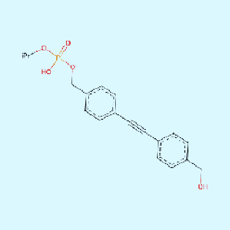 CC(C)OP(=O)(O)OCc1ccc(C#Cc2ccc(CO)cc2)cc1